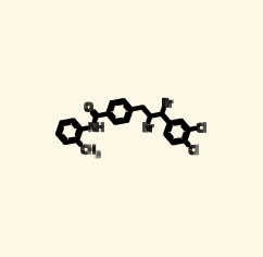 Cc1ccccc1NC(=O)c1ccc(CC(Br)C(Br)c2ccc(Cl)c(Cl)c2)cc1